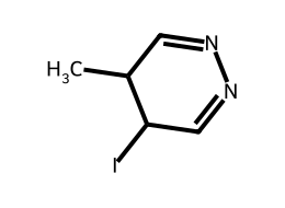 CC1C=NN=CC1I